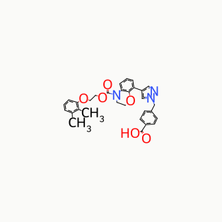 Cc1cccc(OCCOC(=O)N2CCOc3c(-c4cnn(Cc5ccc(C(=O)O)cc5)c4)cccc32)c1C